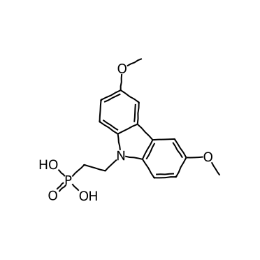 COc1ccc2c(c1)c1cc(OC)ccc1n2CCP(=O)(O)O